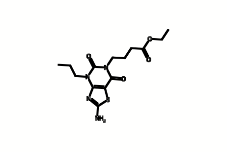 CCCn1c(=O)n(CCCC(=O)OCC)c(=O)c2sc(N)nc21